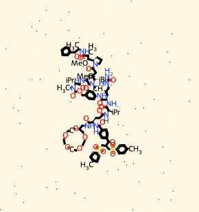 CC[C@@H](C)C([C@@H](CC(=O)N1CCC[C@H]1[C@@H](OC)[C@H](C)C(=O)N[C@H](C)[C@@H](O)c1ccccc1)OC)N(C)C(=O)[C@@H](NC(=O)[C@@H](C(C)C)N(C)C(=O)OCc1ccc(NC(=O)[C@H](CCCNC(N)=O)NC(=O)[C@H](NC(=O)CC[C@@H](NC(=O)c2ccc(C(=O)C(CS(=O)(=O)c3ccc(C)cc3)CS(=O)(=O)c3ccc(C)cc3)cc2)C(=O)NCC2COCCOCCOCCOCCO2)C(C)C)cc1)C(C)C